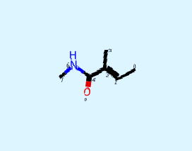 C/C=C(\C)C(=O)NC